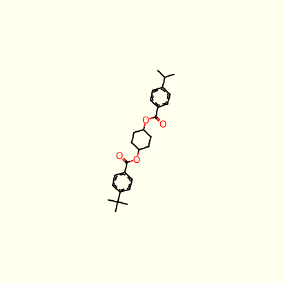 CC(C)c1ccc(C(=O)OC2CCC(OC(=O)c3ccc(C(C)(C)C)cc3)CC2)cc1